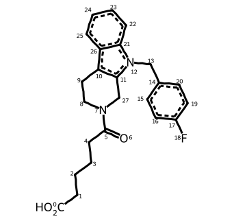 O=C(O)CCCCC(=O)N1CCc2c(n(Cc3ccc(F)cc3)c3ccccc23)C1